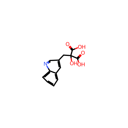 O=C(O)C(O)(Cc1cnc2ccccc2c1)C(=O)O